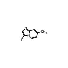 Cc1ccn2c(I)cnc2c1